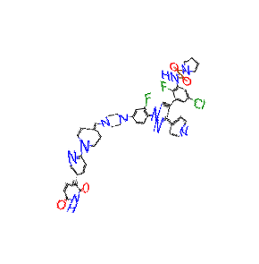 O=C1CC[C@H](c2ccc(N3CCC(CN4CCN(c5ccc(-n6cc(-c7cc(Cl)cc(NS(=O)(=O)N8CCCC8)c7F)c(-c7ccncc7)n6)c(F)c5)CC4)CC3)nc2)C(=O)N1